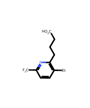 CCc1ccc(C(F)(F)F)nc1CCCC(=O)O